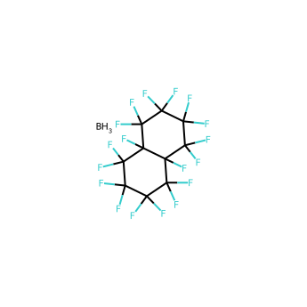 B.FC1(F)C(F)(F)C(F)(F)C2(F)C(F)(F)C(F)(F)C(F)(F)C(F)(F)C2(F)C1(F)F